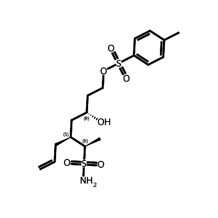 C=CC[C@@H](C[C@@H](O)CCOS(=O)(=O)c1ccc(C)cc1)[C@@H](C)S(N)(=O)=O